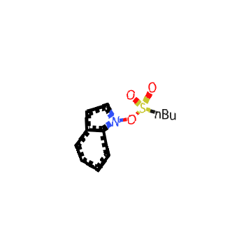 CCCCS(=O)(=O)On1ccc2ccccc21